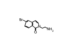 NCCn1ccc2cc(Br)ccc2c1=O